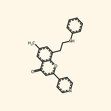 Cc1cc(CCNc2ccccc2)c2oc(-c3ccncc3)cc(=O)c2c1